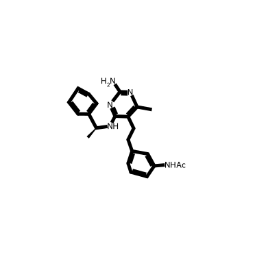 CC(=O)Nc1cccc(CCc2c(C)nc(N)nc2N[C@@H](C)c2ccccc2)c1